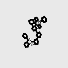 c1ccc(C2=NC(c3cccc(-c4cccc(-c5ccc6c(c5)C5(c7ccccc7-6)c6ccccc6N(c6ccccc6)c6ccccc65)c4)c3)Nc3ccccc32)cc1